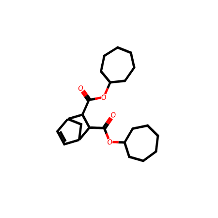 O=C(OC1CCCCCC1)C1C2C=CC(C2)C1C(=O)OC1CCCCCC1